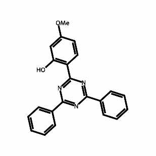 COc1ccc(-c2nc(-c3ccccc3)nc(-c3ccccc3)n2)c(O)c1